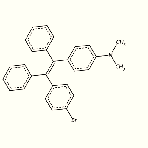 CN(C)c1ccc(C(=C(c2ccccc2)c2ccc(Br)cc2)c2ccccc2)cc1